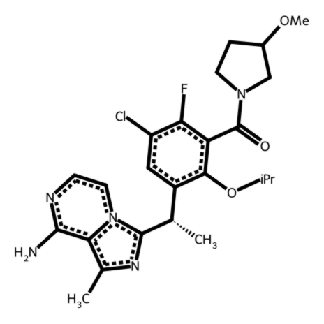 COC1CCN(C(=O)c2c(F)c(Cl)cc([C@H](C)c3nc(C)c4c(N)nccn34)c2OC(C)C)C1